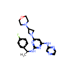 C[C@H](Nc1nc(Nc2cnccn2)cc(N2CC(N3CCOCC3)C2)n1)c1ccc(F)cc1